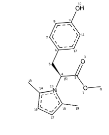 COC(=O)[C@H](Cc1ccc(O)cc1)n1c(C)ccc1C